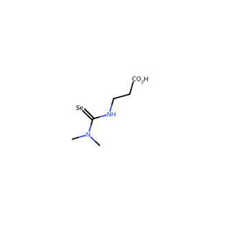 CN(C)C(=[Se])NCCC(=O)O